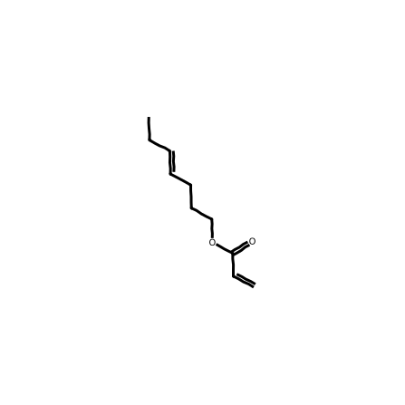 C=CC(=O)OCCCC=CCC